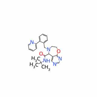 CC(C)(C)NC(=O)C1c2cncnc2OCCN1Cc1ccccc1-c1ccccn1